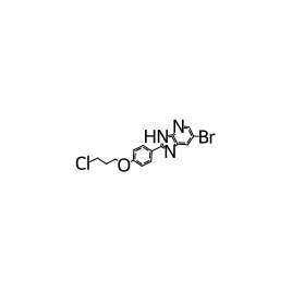 ClCCCOc1ccc(-c2nc3cc(Br)cnc3[nH]2)cc1